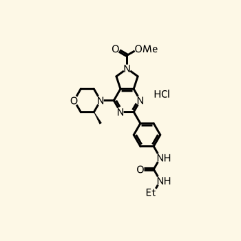 CCNC(=O)Nc1ccc(-c2nc3c(c(N4CCOC[C@@H]4C)n2)CN(C(=O)OC)C3)cc1.Cl